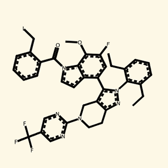 CCc1cccc(CC)c1-n1nc2c(c1-c1cc(F)c(OC)c3c1ccn3C(=O)c1ccccc1CI)CN(c1ncc(C(F)(F)F)cn1)CC2